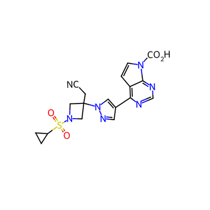 N#CCC1(n2cc(-c3ncnc4c3ccn4C(=O)O)cn2)CN(S(=O)(=O)C2CC2)C1